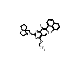 Fc1c(-c2cccc3cccc(F)c23)ncc2c(OCC(F)(F)F)nc(NCC34CCCN3CCC4)nc12